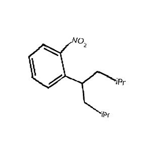 CC(C)CC(CC(C)C)c1ccccc1[N+](=O)[O-]